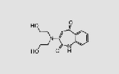 O=c1[nH]c2ccccc2c(=O)cc1N(CCO)CCO